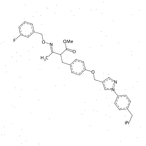 COC(=O)C(Cc1ccc(OCc2cnn(-c3ccc(CC(C)C)cc3)c2)cc1)/C(C)=N/OCc1cccc(F)c1